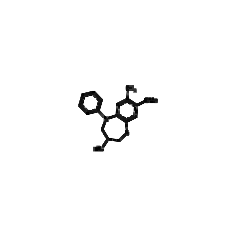 CCCCC1CSc2cc(OC)c(C)cc2N(c2ccccc2)C1